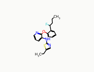 CCCC(F)c1ccccc1Oc1ncccc1Nc1ncc(CC)s1